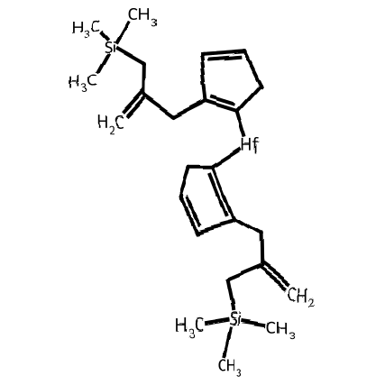 C=C(CC1=[C]([Hf][C]2=C(CC(=C)C[Si](C)(C)C)C=CC2)CC=C1)C[Si](C)(C)C